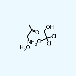 CC(=O)CN.O.OCC(Cl)(Cl)Cl